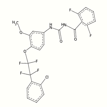 COc1cc(NC(=O)NC(=O)c2c(F)cccc2F)ccc1OC(F)(F)C(F)(F)c1ccccc1Cl